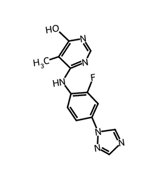 Cc1c(O)ncnc1Nc1ccc(-n2cncn2)cc1F